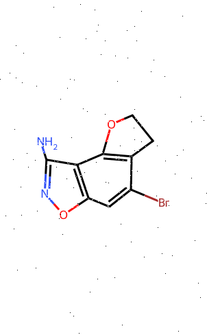 Nc1noc2cc(Br)c3c(c12)OCC3